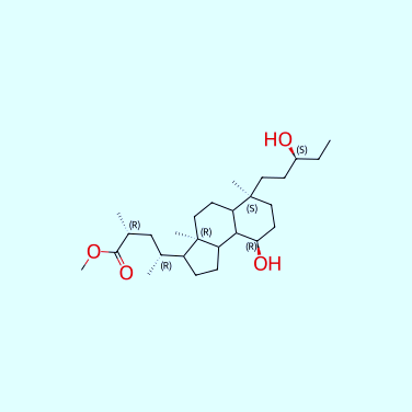 CC[C@H](O)CC[C@@]1(C)CC[C@@H](O)C2C1CC[C@@]1(C)C2CCC1[C@H](C)C[C@@H](C)C(=O)OC